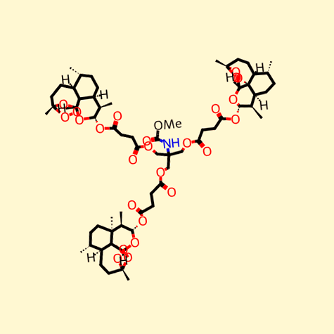 COC(=O)NC(COC(=O)CCC(=O)O[C@@H]1O[C@@H]2O[C@@]3(C)CC[C@H]4[C@H](C)CC[C@@H]([C@H]1C)[C@@]24OO3)(COC(=O)CCC(=O)O[C@@H]1O[C@@H]2O[C@@]3(C)CC[C@H]4[C@H](C)CC[C@@H]([C@H]1C)[C@@]24OO3)COC(=O)CCC(=O)O[C@@H]1O[C@@H]2O[C@@]3(C)CC[C@H]4[C@H](C)CC[C@@](C)([C@H]1C)[C@@]24OO3